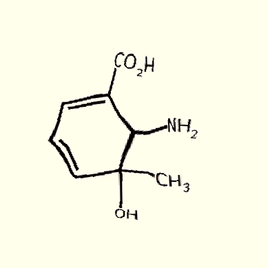 CC1(O)C=CC=C(C(=O)O)C1N